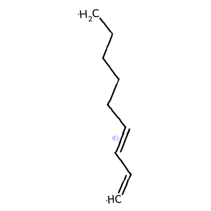 [CH]=C/C=C/CCCC[CH2]